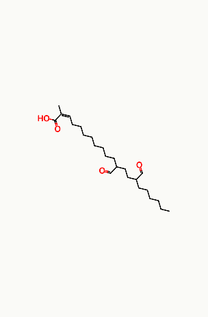 CCCCCCC(C=O)CCC(C=O)CCCCCCCCC=C(C)C(=O)O